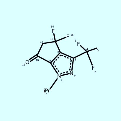 CC(C)n1nc(C(C)(F)F)c2c1C(=O)CC2(F)F